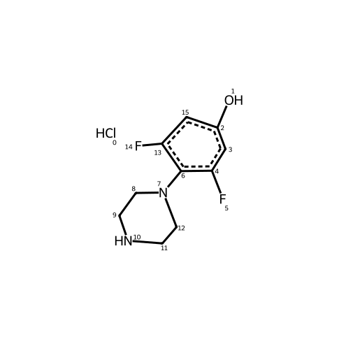 Cl.Oc1cc(F)c(N2CCNCC2)c(F)c1